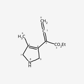 C=C=C(C(=O)OCC)C1=C(C)CNC1